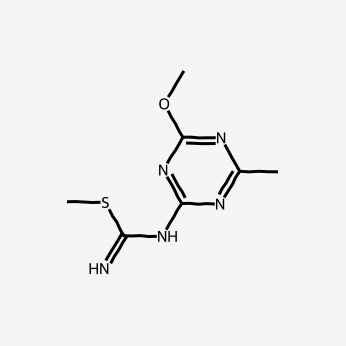 COc1nc(C)nc(NC(=N)SC)n1